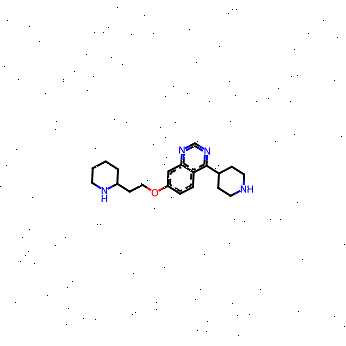 c1nc(C2CCNCC2)c2ccc(OCCC3CCCCN3)cc2n1